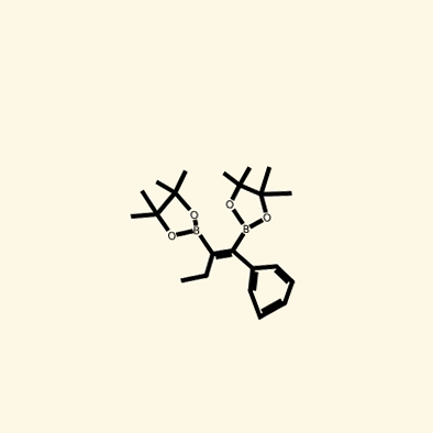 CC/C(B1OC(C)(C)C(C)(C)O1)=C(/B1OC(C)(C)C(C)(C)O1)c1ccccc1